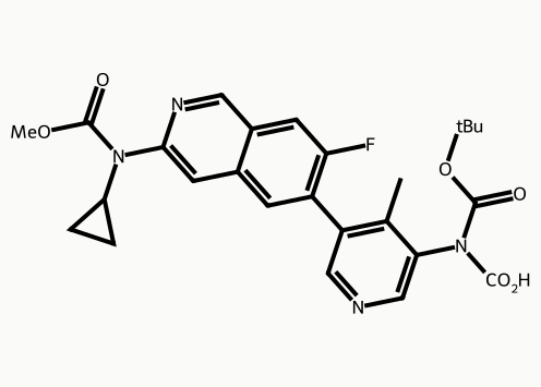 COC(=O)N(c1cc2cc(-c3cncc(N(C(=O)O)C(=O)OC(C)(C)C)c3C)c(F)cc2cn1)C1CC1